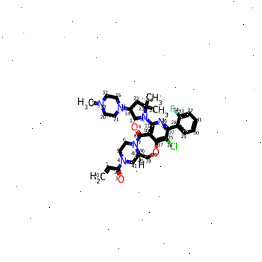 C=CC(=O)N1CCN2C(=O)c3c(N4CC(N5CCN(C)CC5)CC4(C)C)nc(-c4ccccc4F)c(Cl)c3OC[C@H]2C1